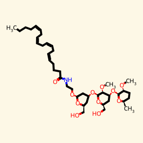 CCCC/C=C\C/C=C\C/C=C\C/C=C\CCCC(=O)NCCO[C@H]1C[C@@H](O[C@@H]2O[C@H](CO)C[C@H](O[C@@H]3O[C@H](C)CC[C@H]3OC)[C@H]2OC)C[C@@H](CO)O1